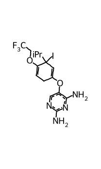 CC(C)C1(I)C=C(Oc2cnc(N)nc2N)CC=C1OCC(F)(F)F